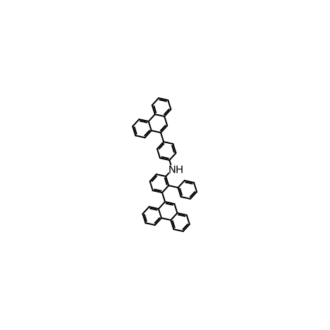 c1ccc(-c2c(Nc3ccc(-c4cc5ccccc5c5ccccc45)cc3)cccc2-c2cc3ccccc3c3ccccc23)cc1